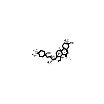 C=C1C=C2C[C@@](C)(O)CC[C@]2(C)[C@H]2CC[C@]3(C)[C@@H]([C@H](C)CCC4(O)CCC(C)(C)CC4)CC[C@H]3[C@H]12